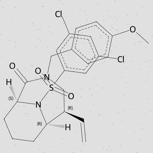 C=C[C@@H]1CN(Cc2ccc(OC)cc2)C(=O)[C@@H]2CCC[C@H]1N2S(=O)(=O)c1cc(Cl)cc(Cl)c1